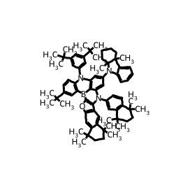 CC(C)(C)c1cc(N2c3ccc(C(C)(C)C)cc3B3c4oc5cc6c(cc5c4N(c4ccc5c(c4)C(C)(C)CCC5(C)C)c4cc(N5c7ccccc7C7(C)CCCCC57C)cc2c43)C(C)(C)CCC6(C)C)cc(C(C)(C)C)c1